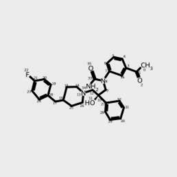 CC(=O)c1cccc(N(C[C@@](O)(CN2CCC(Cc3ccc(F)cc3)CC2)c2ccccc2)C(N)=O)c1